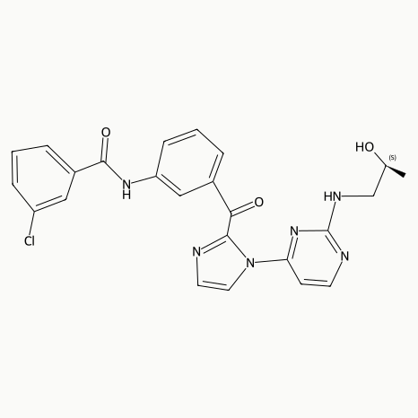 C[C@H](O)CNc1nccc(-n2ccnc2C(=O)c2cccc(NC(=O)c3cccc(Cl)c3)c2)n1